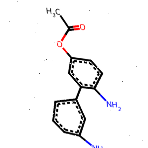 CC(=O)Oc1ccc(N)c(-c2cccc(N)c2)c1